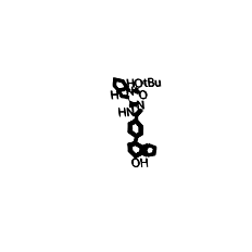 CC(C)(C)OC(=O)N1[C@H](c2ncc(-c3ccc(-c4ccc(O)c5c4C4CCC5C4)cc3)[nH]2)C[C@@H]2CCC[C@@H]21